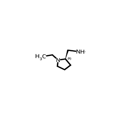 CCN1CCC[C@@H]1C[NH]